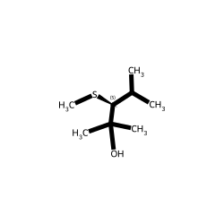 CS[C@@H](C(C)C)C(C)(C)O